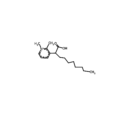 CCCCCCCCC(C(=O)O)c1ccc[n+](C)c1C